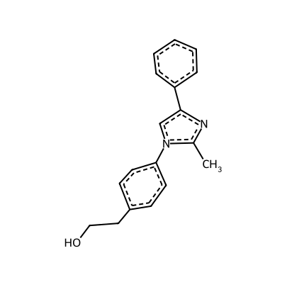 Cc1nc(-c2ccccc2)cn1-c1ccc(CCO)cc1